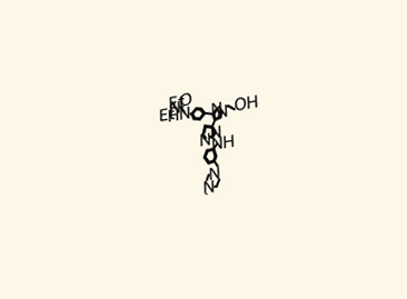 CCN(CC)C(=O)Nc1ccc(-c2nn(CCO)cc2-c2ccnc(Nc3cccc(CN4CCN(C)CC4)c3)n2)cc1